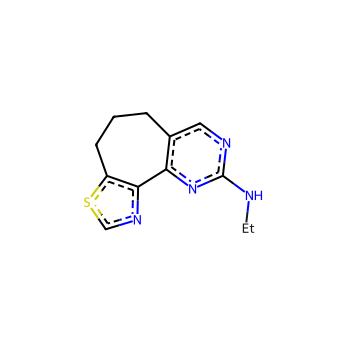 CCNc1ncc2c(n1)-c1ncsc1CCC2